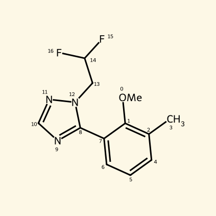 COc1c(C)cccc1-c1ncnn1CC(F)F